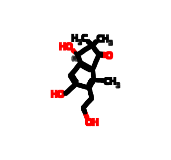 Cc1c(CCO)c(CO)cc2c1C(=O)C(C)(C)[C@@H]2O